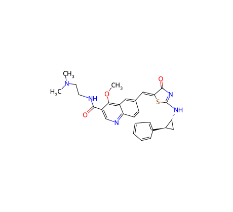 COc1c(C(=O)NCCN(C)C)cnc2ccc(/C=C3\SC(N[C@@H]4C[C@H]4c4ccccc4)=NC3=O)cc12